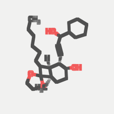 CCCCCCC1[C@H]2[C@H](C#C[C@@H](O)C3CCCCC3)[C@@H](O)CC[C@@]2(C)C12OCCO2